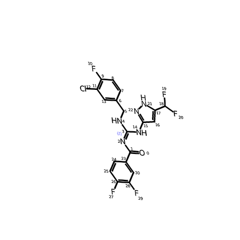 O=C(/N=C(/NCc1ccc(F)c(Cl)c1)Nc1cc(C(F)F)[nH]n1)c1ccc(F)c(F)c1